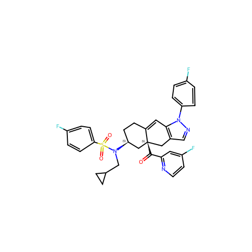 O=C(c1cc(F)ccn1)[C@]12Cc3cnn(-c4ccc(F)cc4)c3C=C1CC[C@H](N(CC1CC1)S(=O)(=O)c1ccc(F)cc1)C2